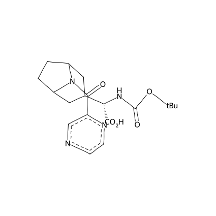 CC(C)(C)OC(=O)N[C@H](C(=O)O)C1CC2CCC(C1)N2C(=O)c1cnccn1